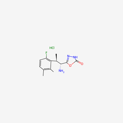 Cc1ccc(F)c([C@@H](C)[C@@H](N)c2n[nH]c(=O)o2)c1C.Cl